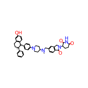 CN(Cc1ccc2c(c1)CN(C1CCC(=O)NC1=O)C2=O)C1CCN(c2ccc([C@@H]3c4ccc(O)cc4CC[C@@H]3c3ccccc3)cc2)CC1